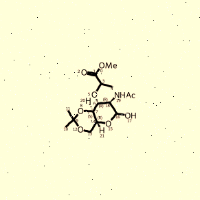 COC(=O)C(C)O[C@H]1[C@@H]2OC(C)(C)OC[C@H]2OC(O)[C@@H]1NC(C)=O